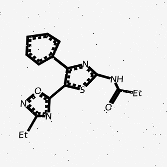 CCC(=O)Nc1nc(-c2ccccc2)c(-c2nc(CC)no2)s1